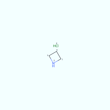 C1CNC1.Cl